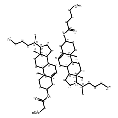 CCCCCCCCCCCC(=O)OC1CC[C@@]2(C)C(=CCC3C2CC[C@@]2(C)C3CC[C@@H]2[C@H](C)CCCC(C)C)C1.CCCCCCCCCCCCCC(=O)OC1CC[C@@]2(C)C(=CCC3C2CC[C@@]2(C)C3CC[C@@H]2[C@H](C)CCCC(C)C)C1